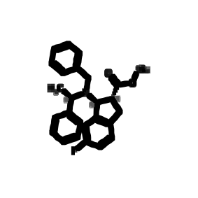 C[C@H](c1ccccc1)N(Cc1ccccc1)[C@@H]1c2cc(F)ccc2C[C@H]1C(=O)OC(C)(C)C